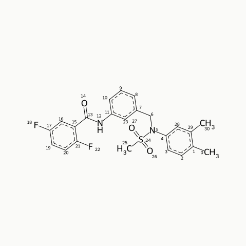 Cc1ccc(N(Cc2cccc(NC(=O)c3cc(F)ccc3F)c2)S(C)(=O)=O)cc1C